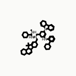 CNC(NN(CC1C=C2C(CC1)C1C=CC3CCCCC3C1C2(C)C)CC1CC(Nc2ccccc2C2CCCCC2)=CC(N2C3C=CC=CC3C3CCC=CC32)C1)C1CCCCC1